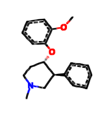 COc1ccccc1O[C@H]1CCN(C)C[C@@H]1c1ccccc1